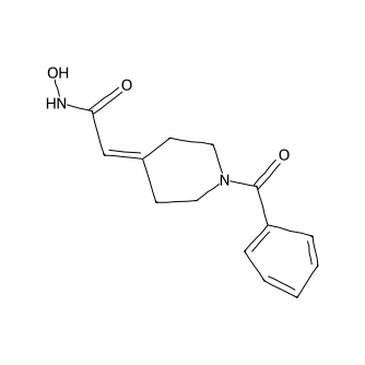 O=C(C=C1CCN(C(=O)c2ccccc2)CC1)NO